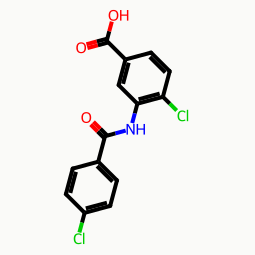 O=C(O)c1ccc(Cl)c(NC(=O)c2ccc(Cl)cc2)c1